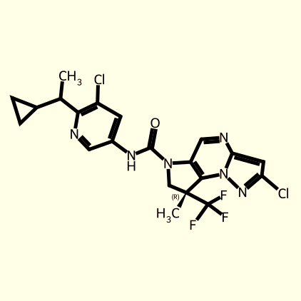 CC(c1ncc(NC(=O)N2C[C@@](C)(C(F)(F)F)c3c2cnc2cc(Cl)nn32)cc1Cl)C1CC1